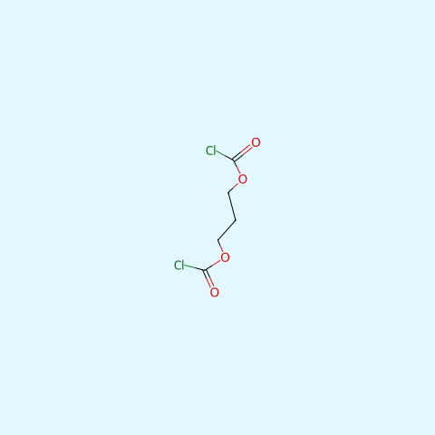 O=C(Cl)OCCCOC(=O)Cl